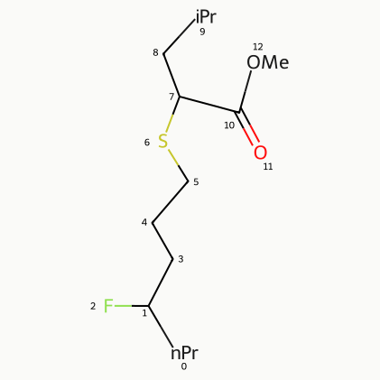 CCCC(F)CCCSC(CC(C)C)C(=O)OC